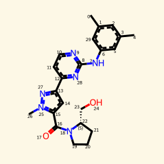 Cc1cc(C)cc(Nc2nccc(-c3cc(C(=O)N4CCC[C@H]4CO)n(C)n3)n2)c1